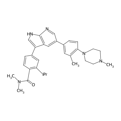 Cc1cc(-c2cnc3[nH]cc(-c4ccc(C(=O)N(C)C)c(C(C)C)c4)c3c2)ccc1N1CCN(C)CC1